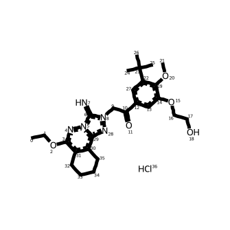 CCOc1nn2c(=N)n(CC(=O)c3cc(OCCO)c(OC)c(C(C)(C)C)c3)nc2c2c1CCCC2.Cl